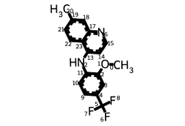 COc1cc(C(F)(F)F)ccc1Nc1ccnc2cc(C)ccc12